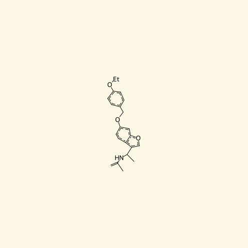 C=C(C)NC(C)c1coc2cc(OCc3ccc(OCC)cc3)ccc12